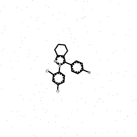 Clc1ccc(-n2nc3c(c2-c2ccc(Br)cc2)CCCC3)c(Cl)c1